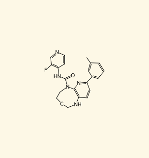 Cc1cccc(-c2ccc3c(n2)N(C(=O)Nc2ccncc2F)CCCCN3)c1